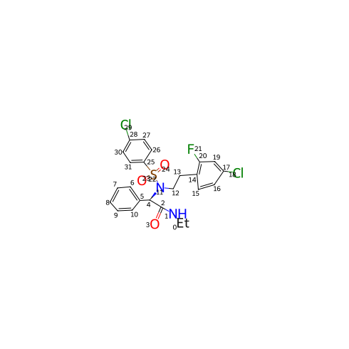 CCNC(=O)[C@@H](c1ccccc1)N(CCc1ccc(Cl)cc1F)S(=O)(=O)c1ccc(Cl)cc1